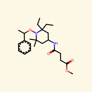 CCC1(CC)CC(NC(=O)CCC(=O)OC)CC(C)(C)N1OC(C)c1ccccc1